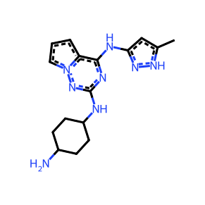 Cc1cc(Nc2nc(NC3CCC(N)CC3)nn3cccc23)n[nH]1